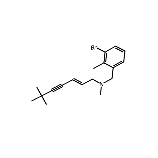 Cc1c(Br)cccc1CN(C)CC=CC#CC(C)(C)C